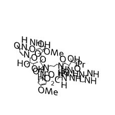 COc1ccc(N2C(=O)C(C(O[C@H]3O[C@H](CN)[C@H](O)[C@H]3OC)[C@H]3O[C@@H](n4ccc(=O)[nH]c4=O)[C@H](O)[C@@H]3O)N(CCCNC(=O)C(NC(=O)C(NC(=O)NC(C(=O)O)C(C)C)C3CCNC(=N)N3)C(O)C(C)C)C2=O)cc1